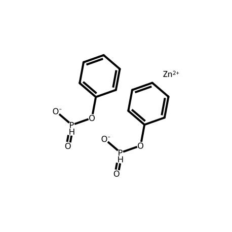 O=[PH]([O-])Oc1ccccc1.O=[PH]([O-])Oc1ccccc1.[Zn+2]